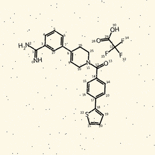 N=C(N)c1cccc(C2=CCN(C(=O)c3ccc(-c4cccs4)cc3)CC2)c1.O=C(O)C(F)(F)F